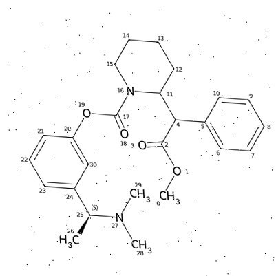 COC(=O)C(c1ccccc1)C1CCCCN1C(=O)Oc1cccc([C@H](C)N(C)C)c1